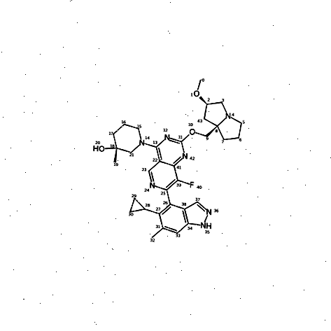 CO[C@H]1CN2CCC[C@]2(COc2nc(N3CCC[C@@](C)(O)C3)c3cnc(-c4c(C5CC5)c(C)cc5[nH]ncc45)c(F)c3n2)C1